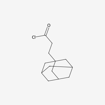 O=C(Cl)CCC12CC3CC(CC(C3)C1)C2